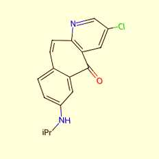 CC(C)Nc1ccc2ccc3ncc(Cl)cc3c(=O)c2c1